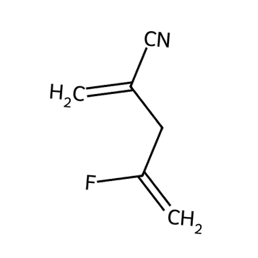 C=C(F)CC(=C)C#N